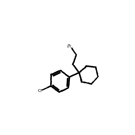 CC(C)CCC1(c2ccc(Cl)cc2)CCCCC1